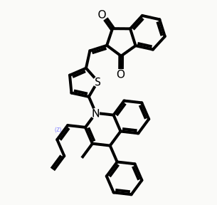 C=C/C=C\C1=C(C)C(c2ccccc2)c2ccccc2N1c1ccc(C=C2C(=O)c3ccccc3C2=O)s1